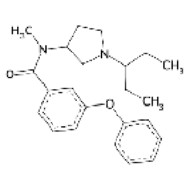 CCC(CC)N1CCC(N(C)C(=O)c2cccc(Oc3ccccc3)c2)C1